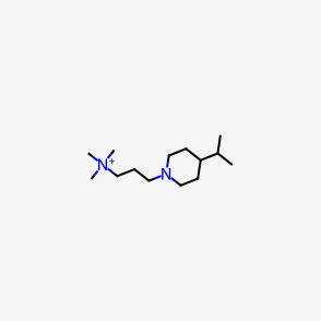 CC(C)C1CCN(CCC[N+](C)(C)C)CC1